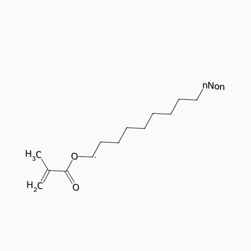 [CH2]CCCCCCCCCCCCCCCC[CH]OC(=O)C(=C)C